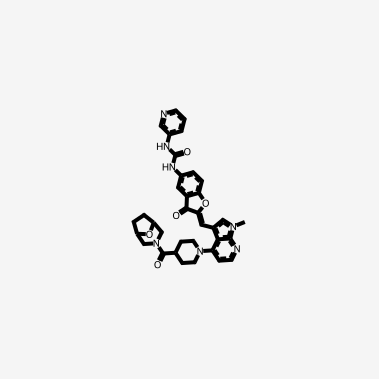 Cn1cc(C=C2Oc3ccc(NC(=O)Nc4cccnc4)cc3C2=O)c2c(N3CCC(C(=O)N4CC5CCC(C4)O5)CC3)ccnc21